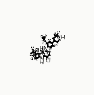 CN/C=C(/Nc1nc(Nc2cc(C)c(C3CCNC(C)(C)C3)cc2OC2CC2)ncc1Cl)C(=N)S(=O)(=O)C(C)C